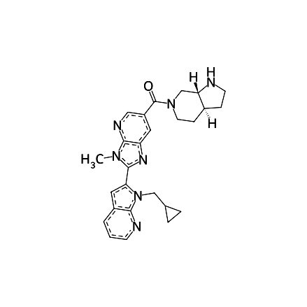 Cn1c(-c2cc3cccnc3n2CC2CC2)nc2cc(C(=O)N3CC[C@@H]4CCN[C@H]4C3)cnc21